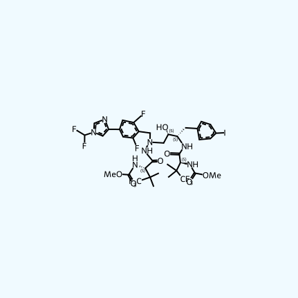 COC(=O)N[C@H](C(=O)N[C@@H](Cc1ccc(I)cc1)[C@@H](O)CN(Cc1c(F)cc(-c2cn(C(F)F)cn2)cc1F)NC(=O)[C@@H](NC(=O)OC)C(C)(C)C(F)(F)F)C(C)(C)C(F)(F)F